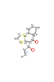 C/C=C/C(=O)C(C(=O)c1ccccc1)=C1SC=CS1